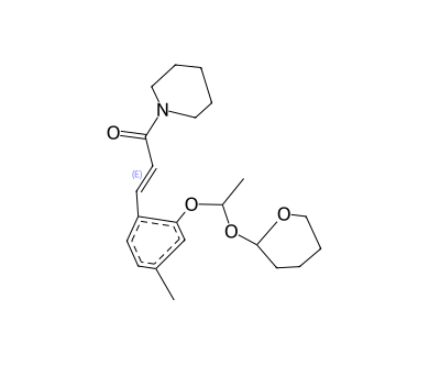 Cc1ccc(/C=C/C(=O)N2CCCCC2)c(OC(C)OC2CCCCO2)c1